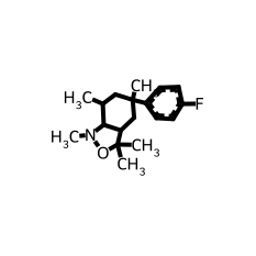 CC1CC(C)(c2ccc(F)cc2)CC2C1N(C)OC2(C)C